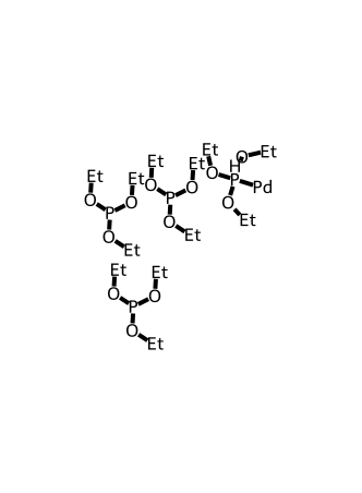 CCOP(OCC)OCC.CCOP(OCC)OCC.CCOP(OCC)OCC.CCO[PH]([Pd])(OCC)OCC